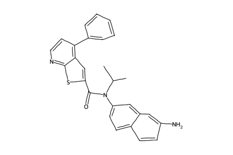 CC(C)N(C(=O)c1cc2c(-c3ccccc3)ccnc2s1)c1ccc2ccc(N)cc2c1